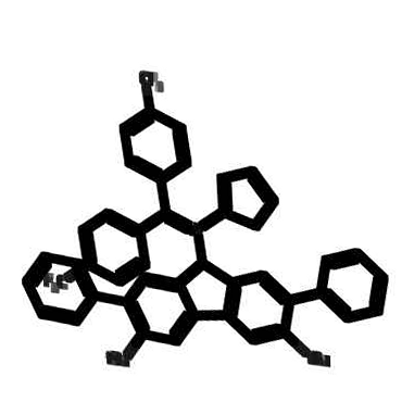 CC(C)(C)c1cc2c(cc1-c1ccccc1)[CH]([Zr]([C]1=CC=CC1)=[C](c1ccc(C(F)(F)F)cc1)c1ccc(C(F)(F)F)cc1)c1cc(-c3ccccc3)c(C(C)(C)C)cc1-2